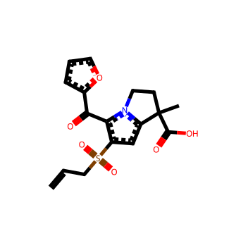 C=CCS(=O)(=O)c1cc2n(c1C(=O)c1ccco1)CCC2(C)C(=O)O